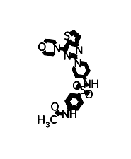 CC(=O)Nc1ccc(S(=O)(=O)NC2CCN(c3nc(N4CCOCC4)c4sccc4n3)CC2)cc1